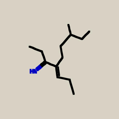 CC/C=C(\CCC(C)CC)C(=N)CC